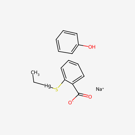 C[CH2][Hg][S]c1ccccc1C(=O)[O-].Oc1ccccc1.[Na+]